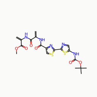 C=C(NC(=O)c1csc(-c2ncc(NC(=O)OC(C)(C)C)s2)n1)C(=O)NC(=C)C(=O)OC